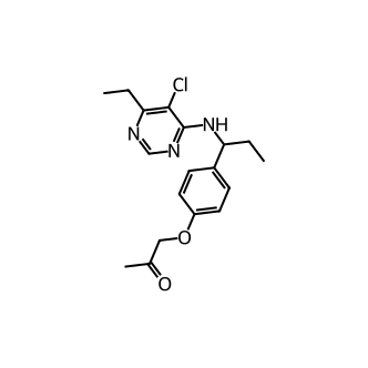 CCc1ncnc(NC(CC)c2ccc(OCC(C)=O)cc2)c1Cl